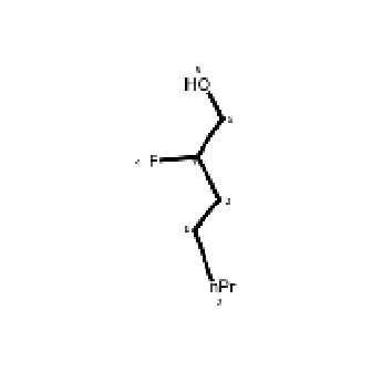 CCCCCC(F)CO